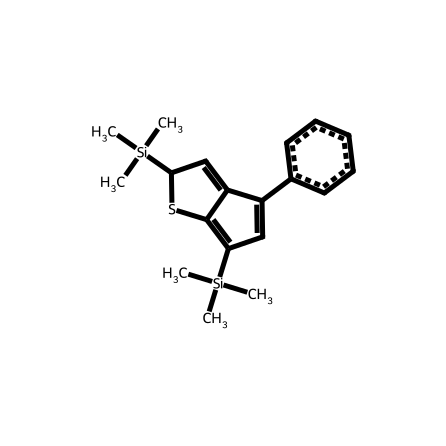 C[Si](C)(C)C1=C2SC([Si](C)(C)C)C=C2C(c2ccccc2)=C1